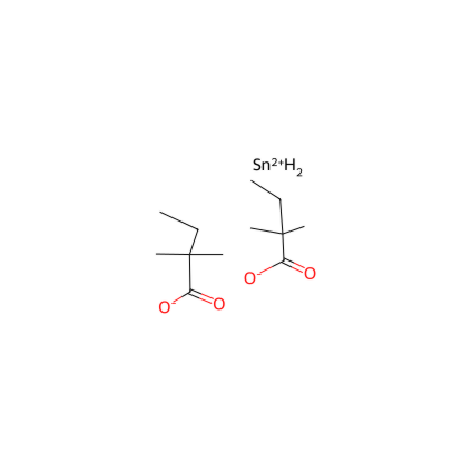 CCC(C)(C)C(=O)[O-].CCC(C)(C)C(=O)[O-].[SnH2+2]